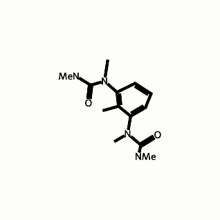 CNC(=O)N(C)c1cccc(N(C)C(=O)NC)c1C